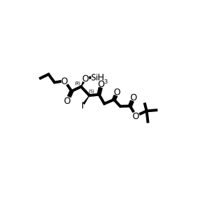 CCCOC(=O)[C@@H](O[SiH3])[C@H](I)C(=O)CC(=O)CC(=O)OC(C)(C)C